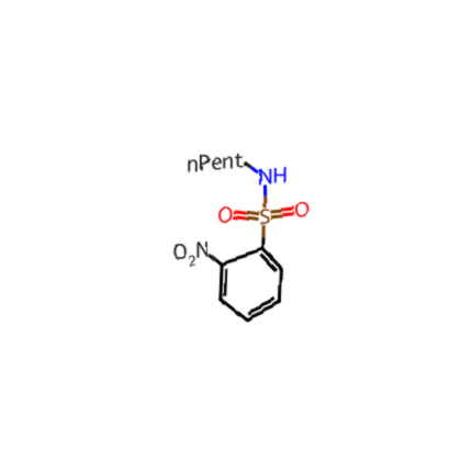 CCCCCNS(=O)(=O)c1ccccc1[N+](=O)[O-]